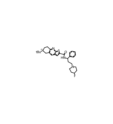 CC(C)(C)[C@H]1CCc2nc3sc(C(=O)NC(CCN4CCC(F)CC4)c4ccccc4)cc3cc2C1